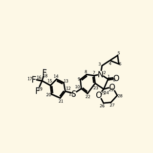 O=C1N(CC2CC2)c2ccc(Sc3ccc(C(F)(F)F)cc3)cc2C12OCCCO2